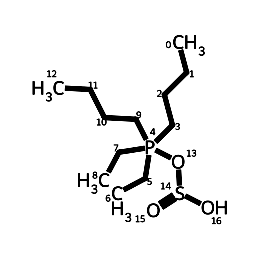 CCCCP(CC)(CC)(CCCC)OS(=O)O